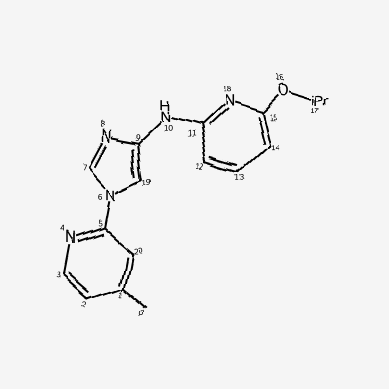 Cc1ccnc(-n2cnc(Nc3cccc(OC(C)C)n3)c2)c1